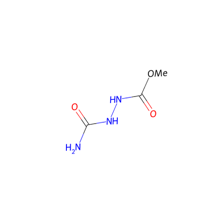 COC(=O)NNC(N)=O